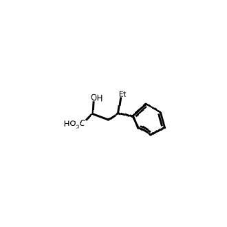 CCC(CC(O)C(=O)O)c1ccccc1